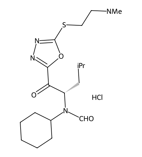 CNCCSc1nnc(C(=O)[C@H](CC(C)C)N(C=O)C2CCCCC2)o1.Cl